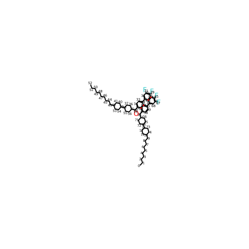 CCCCCCCCCCC1CCC(C2CCC(C(OC(c3ccc(-c4ccc(F)c(F)c4)cc3)C3CCC(C4CCC(CCCCCCCCCC)CC4)CC3)c3ccc(-c4ccc(F)c(F)c4)cc3)CC2)CC1